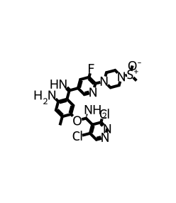 Cc1cc(N)c(C(=N)c2cnc(N3CCN([S+](C)[O-])CC3)c(F)c2)cc1O[C@H](N)c1c(Cl)cnnc1Cl